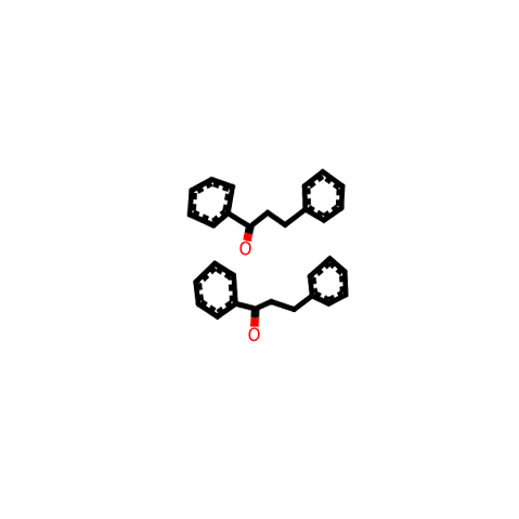 O=C(CCc1ccccc1)c1ccccc1.O=C(CCc1ccccc1)c1ccccc1